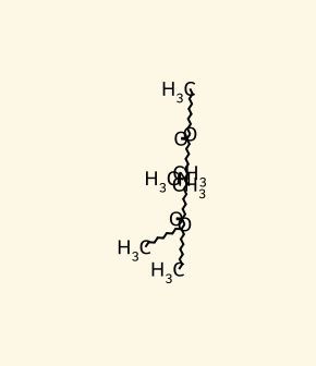 CCCCCCCCCOC(=O)CCCCCCCN(CCCCCCCC(=O)OC(CCCCCCCC)CCCCCCCC)C(C)(C)C